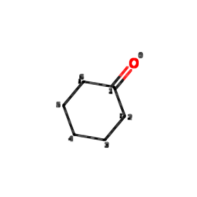 O=C1[C]CCC[C]1